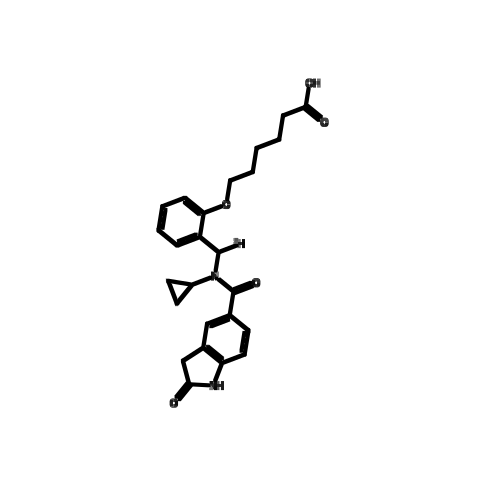 [2H]C(c1ccccc1OCCCCCC(=O)O)N(C(=O)c1ccc2c(c1)CC(=O)N2)C1CC1